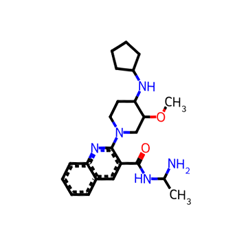 COC1CN(c2nc3ccccc3cc2C(=O)NC(C)N)CCC1NC1CCCC1